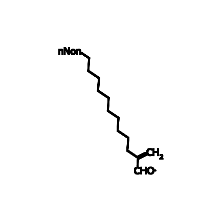 C=C([C]=O)CCCCCCCCCCCCCCCCCCC